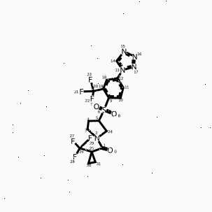 O=C(N1CCC(S(=O)(=O)c2ccc(-n3cnnn3)cc2C(F)(F)F)C1)C1(C(F)(F)F)CC1